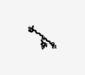 CCOCCCCN(CCCCCc1ccsc1C)Cc1cnn(C)c1